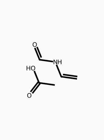 C=CNC=O.CC(=O)O